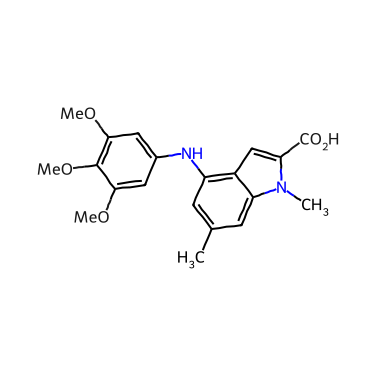 COc1cc(Nc2cc(C)cc3c2cc(C(=O)O)n3C)cc(OC)c1OC